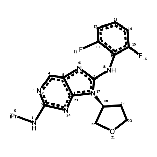 CC(C)Nc1ncc2nc(Nc3c(F)cccc3F)n([C@H]3CCOC3)c2n1